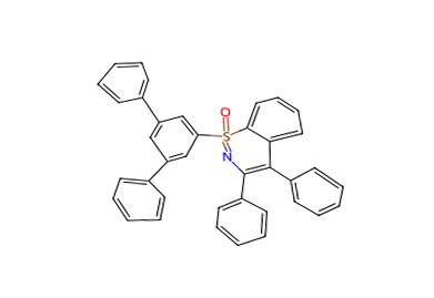 O=S1(c2cc(-c3ccccc3)cc(-c3ccccc3)c2)=NC(c2ccccc2)=C(c2ccccc2)c2ccccc21